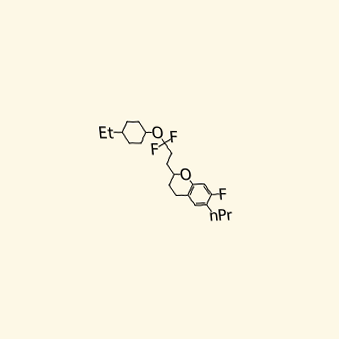 CCCc1cc2c(cc1F)OC(CCC(F)(F)OC1CCC(CC)CC1)CC2